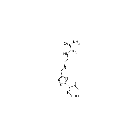 CN(C)C(=NC=O)c1nc(CSCCNC(=O)C(N)=O)cs1